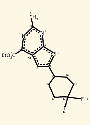 CCOC(=O)c1nc(C)nc2sc(C3CCC(F)(F)CC3)cc12